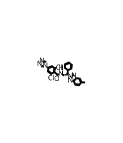 Cc1ccc2nn([C@@H](CNC(=O)c3c(Cl)cc(-n4cnnc4)cc3Cl)C3C=CC=CC3)nc2c1